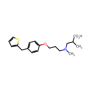 CC(CN(C)CCCOc1ccc(Cc2cccs2)cc1)C(=O)O